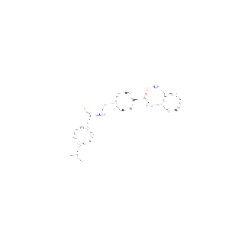 CN(C)c1ccc(C(=O)NCc2ccc(C(=O)Nc3ccccc3N)cc2)cc1